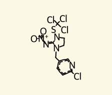 O=[N+]([O-])N=C1N(Cc2ccc(Cl)nc2)CCN1SC(Cl)(Cl)Cl